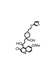 COc1ccc2ncc(Cl)c([C@@H](O)CCC3(CO)CCN(CCSc4ccsc4)CC3)c2c1